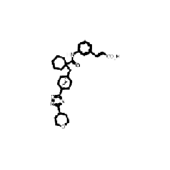 O=C(O)/C=C/c1cccc(NC(=O)C2(CC34CCC(c5nc(C6CCOCC6)no5)(CC3)CC4)CCCCC2)c1